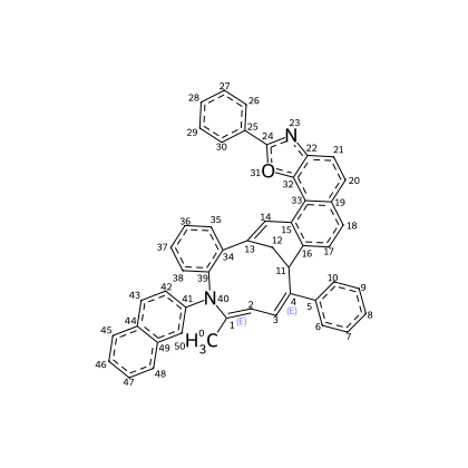 C/C1=C\C=C(\c2ccccc2)C2CC(=Cc3c2ccc2ccc4nc(-c5ccccc5)oc4c32)c2ccccc2N1c1ccc2ccccc2c1